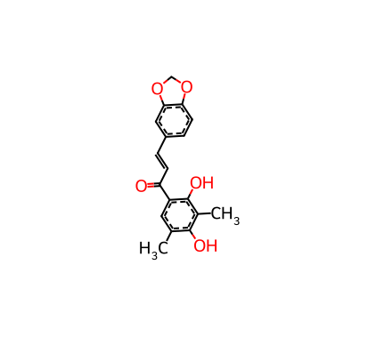 Cc1cc(C(=O)/C=C/c2ccc3c(c2)OCO3)c(O)c(C)c1O